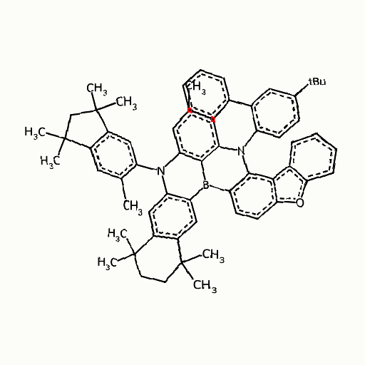 Cc1cc2c3c(c1)N(c1ccc(C(C)(C)C)cc1-c1ccccc1)c1c(ccc4oc5ccccc5c14)B3c1cc3c(cc1N2c1cc2c(cc1C)C(C)(C)CC2(C)C)C(C)(C)CCC3(C)C